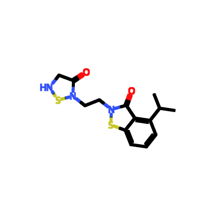 CC(C)c1cccc2sn(CCN3SNCC3=O)c(=O)c12